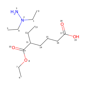 CCN(N)CC.CCOC(=O)C(CC)CCCC(=O)O